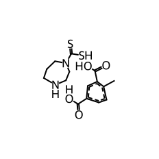 Cc1ccc(C(=O)O)cc1C(=O)O.S=C(S)N1CCCNCC1